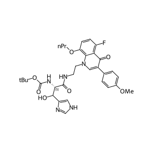 CCCOc1ccc(F)c2c(=O)c(-c3ccc(OC)cc3)cn(CCNC(=O)[C@@H](NC(=O)OC(C)(C)C)C(O)c3c[nH]cn3)c12